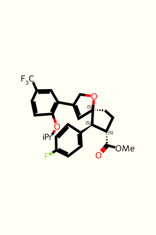 COC(=O)[C@H]1CC[C@@]2(C=C(c3cc(C(F)(F)F)ccc3OC(C)C)CO2)[C@@H]1c1ccc(F)cc1